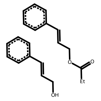 CCC(=O)OCC=Cc1ccccc1.OC/C=C/c1ccccc1